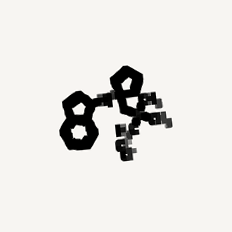 C[Si](C)(C)C[C]1([Hf+2][CH]2C=Cc3ccccc32)C=CC=C1.[Cl-].[Cl-]